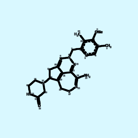 COc1c(C)cnc(CN2N=C3CC(N4CCNC(=O)C4)C4=C3C(=N2)C(N)=NSC4)c1C